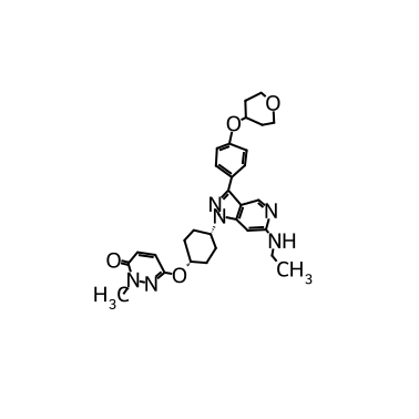 CCNc1cc2c(cn1)c(-c1ccc(OC3CCOCC3)cc1)nn2[C@H]1CC[C@@H](Oc2ccc(=O)n(C)n2)CC1